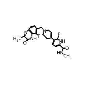 CNC(=O)C1=CC=C(C2=CCN(Cc3ccc4nc(C)c(=O)[nH]c4c3F)CC2)C(F)N1